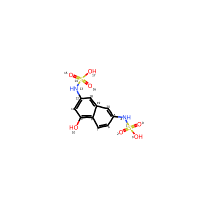 O=S(=O)(O)Nc1ccc2c(O)cc(NS(=O)(=O)O)cc2c1